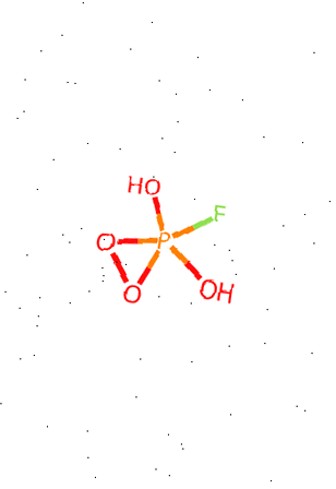 OP1(O)(F)OO1